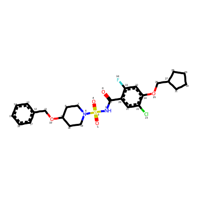 O=C(NS(=O)(=O)N1CCC(OCc2ccccc2)CC1)c1cc(Cl)c(OCC2CCCC2)cc1F